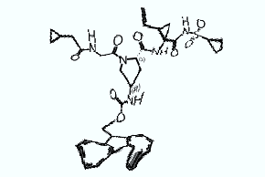 C=CC1CC1(NC(=O)[C@@H]1C[C@@H](NC(=O)OCC2c3ccccc3-c3ccccc32)CN1C(=O)CNC(=O)CC1CC1)C(=O)NS(=O)(=O)C1CC1